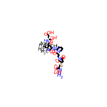 C/C(=C\[C@H](C(C)C)N(C)C(=O)[C@@H](NC(=O)[C@H]1CCCCN1C(=O)CCN1C(=O)CC(SC[C@H](N)C(=O)O)C1=O)C(C)(C)C)C(=O)N[C@H](CCC(=O)O)C(=O)O